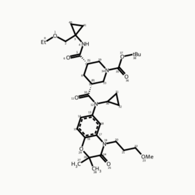 CCOCC1(NC(=O)[C@H]2C[C@@H](C(=O)N(c3ccc4c(c3)N(CCCOC)C(=O)C(C)(C)O4)C3CC3)CN(C(=O)OC(C)(C)C)C2)CC1